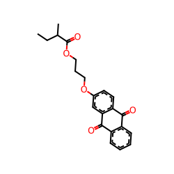 CCC(C)C(=O)OCCCOc1ccc2c(c1)C(=O)c1ccccc1C2=O